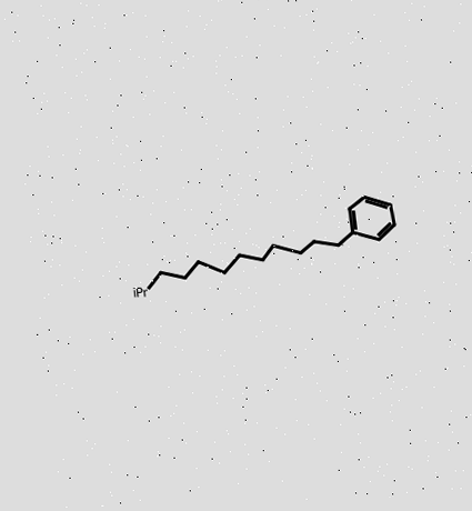 CC(C)CCCCCCCCC[CH]c1ccccc1